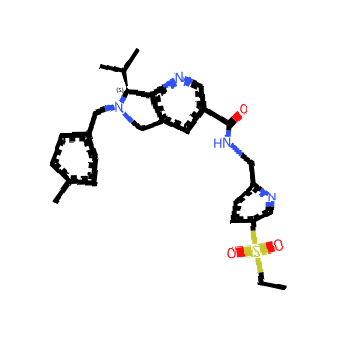 CCS(=O)(=O)c1ccc(CNC(=O)c2cnc3c(c2)CN(Cc2ccc(C)cc2)[C@H]3C(C)C)nc1